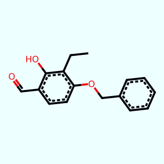 CCc1c(OCc2ccccc2)ccc(C=O)c1O